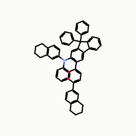 c1ccc(N(c2ccc3c(c2)CCCC3)c2cc3c(cc2-c2ccc(-c4ccc5c(c4)CCCC5)cc2)-c2ccccc2C3(c2ccccc2)c2ccccc2)cc1